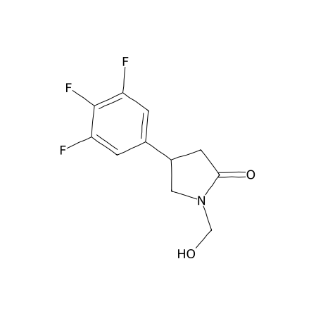 O=C1CC(c2cc(F)c(F)c(F)c2)CN1CO